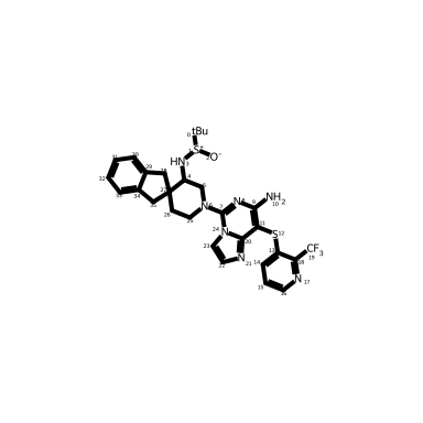 CC(C)(C)[S+]([O-])NC1CN(c2nc(N)c(Sc3cccnc3C(F)(F)F)c3nccn23)CCC12Cc1ccccc1C2